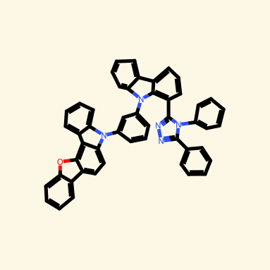 c1ccc(-c2nnc(-c3cccc4c5ccccc5n(-c5cccc(-n6c7ccccc7c7c8oc9ccccc9c8ccc76)c5)c34)n2-c2ccccc2)cc1